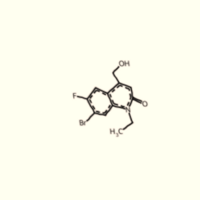 CCn1c(=O)cc(CO)c2cc(F)c(Br)cc21